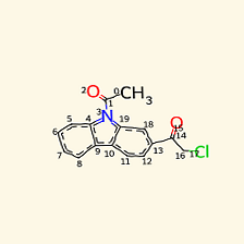 CC(=O)n1c2ccccc2c2ccc(C(=O)CCl)cc21